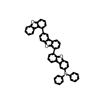 c1ccc(N(c2ccccc2)c2ccc3oc4c(-c5cccc6c5oc5ccc(-c7cccc8oc9ccccc9c78)cc56)cccc4c3c2)cc1